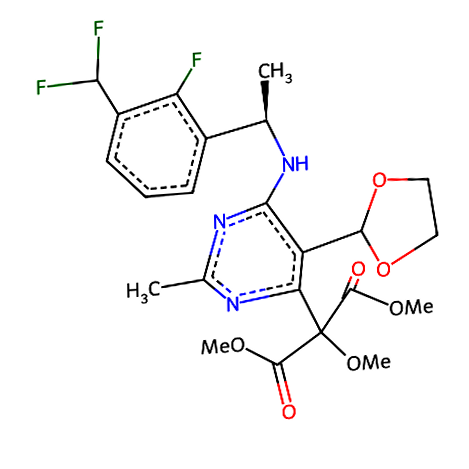 COC(=O)C(OC)(C(=O)OC)c1nc(C)nc(N[C@H](C)c2cccc(C(F)F)c2F)c1C1OCCO1